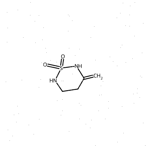 C=C1CCNS(=O)(=O)N1